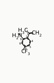 C=C(C)c1ccc(C(F)(F)F)cc1N